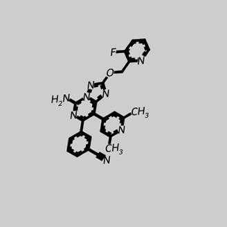 Cc1cc(-c2c(-c3cccc(C#N)c3)nc(N)n3nc(OCc4ncccc4F)nc23)cc(C)n1